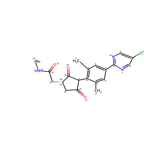 Cc1cc(-c2ncc(Cl)cn2)cc(C)c1C1C(=O)C[C@H](CC(=O)NC(C)(C)C)C1=O